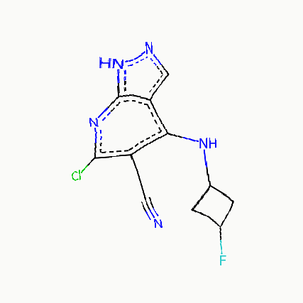 N#Cc1c(Cl)nc2[nH]ncc2c1NC1CC(F)C1